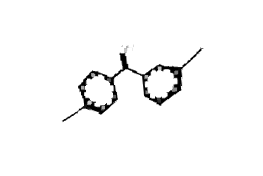 Cc1ccc(C(=N)c2cccc(C)c2)cc1